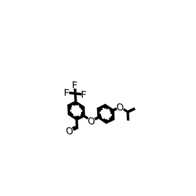 CC(C)Oc1ccc(Oc2cc(C(F)(F)F)ccc2C=O)cc1